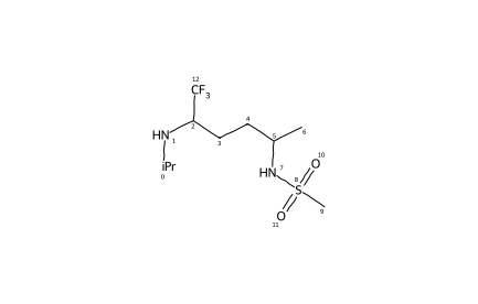 CC(C)NC(CCC(C)NS(C)(=O)=O)C(F)(F)F